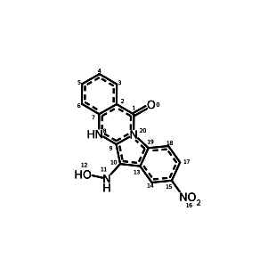 O=c1c2ccccc2[nH]c2c(NO)c3cc([N+](=O)[O-])ccc3n12